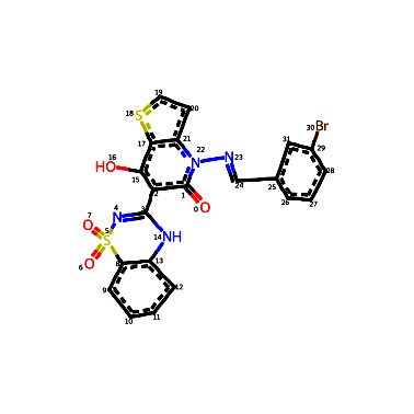 O=c1c(C2=NS(=O)(=O)c3ccccc3N2)c(O)c2sccc2n1N=Cc1cccc(Br)c1